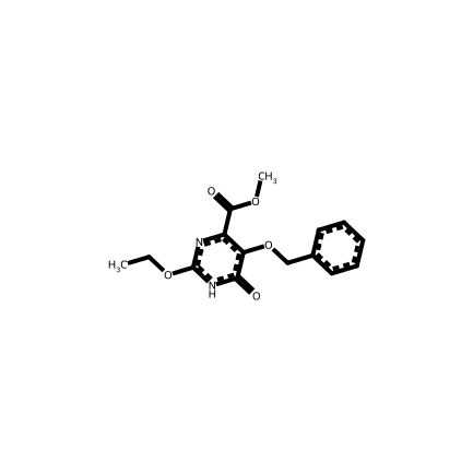 CCOc1nc(C(=O)OC)c(OCc2ccccc2)c(=O)[nH]1